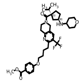 COC(=O)c1ccc(OCCCCc2nc3c(cc2C(F)(F)F)CN(C(=O)[C@@]2(C(C)C)CC[C@@H](NC4CCOCC4)C2)CC3)cc1